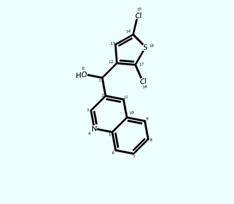 OC(c1cnc2ccccc2c1)c1cc(Cl)sc1Cl